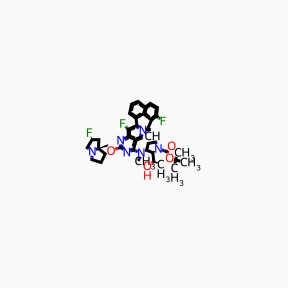 C#Cc1c(F)ccc2cccc(-c3ncc4c(N(C)[C@@H]5CCN(C(=O)OC(C)(C)C)[C@@H]5[C@@H](C)O)nc(OC[C@@]56CCCN5C[C@H](F)C6)nc4c3F)c12